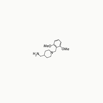 COc1cccc(OC)c1CN1CCC(CN)CC1